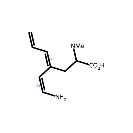 C=C/C=C(\C=C/N)CC(NC)C(=O)O